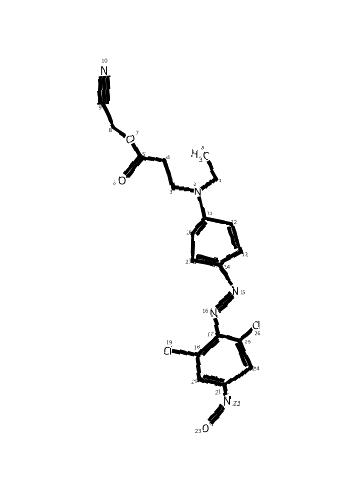 CCN(CCC(=O)OCC#N)c1ccc(/N=N/c2c(Cl)cc(N=O)cc2Cl)cc1